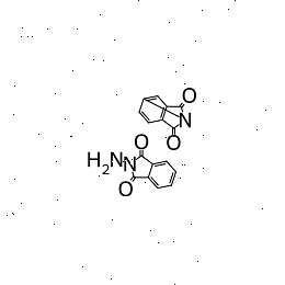 NN1C(=O)c2ccccc2C1=O.O=C1c2cc3ccc2c(=O)n31